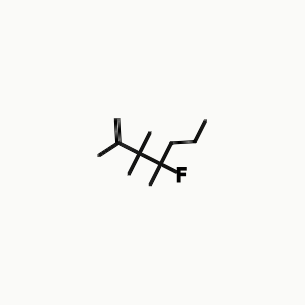 C=C(C)C(C)(C)C(C)(F)CCC